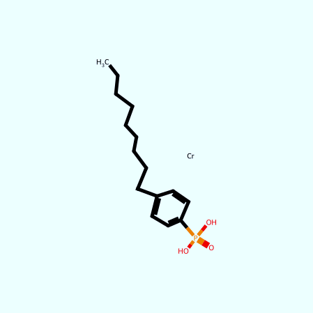 CCCCCCCCCc1ccc(P(=O)(O)O)cc1.[Cr]